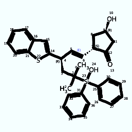 CC(C)(C[C@H](/C=C/[C@@H]1C[C@@H](O)CC1=O)c1cc2ccccc2s1)[Si](O)(c1ccccc1)c1ccccc1